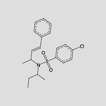 CCC(C)N(C(C)/C=C/c1ccccc1)S(=O)(=O)c1ccc(Cl)cc1